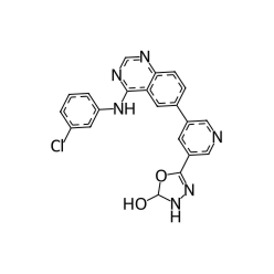 OC1NN=C(c2cncc(-c3ccc4ncnc(Nc5cccc(Cl)c5)c4c3)c2)O1